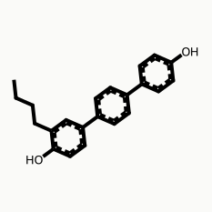 CCCCc1cc(-c2ccc(-c3ccc(O)cc3)cc2)ccc1O